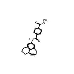 COC(=O)c1ccc(C(=O)Nc2cc3c4c(c2)CCCC4(C)CCC3)cn1